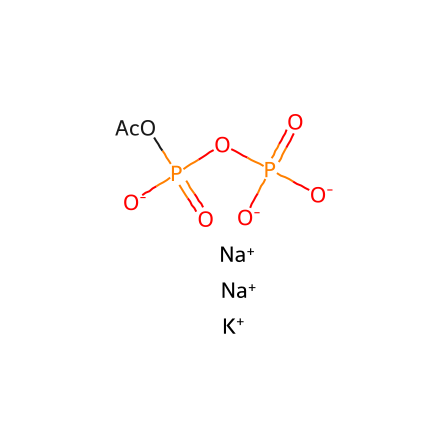 CC(=O)OP(=O)([O-])OP(=O)([O-])[O-].[K+].[Na+].[Na+]